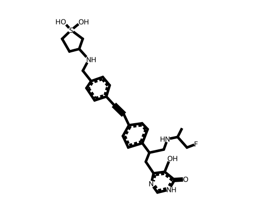 CC(CF)NCC(Cc1nc[nH]c(=O)c1O)c1ccc(C#Cc2ccc(CNC3CCS(O)(O)C3)cc2)cc1